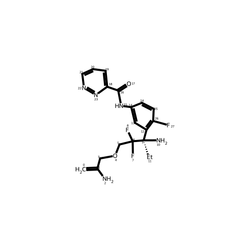 C=C(N)COCC(F)(F)[C@@](N)(CC)c1cc(NC(=O)c2cccnn2)ccc1F